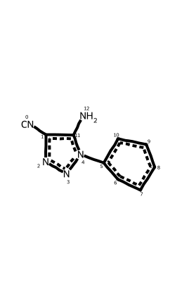 [C-]#[N+]c1nnn(-c2ccccc2)c1N